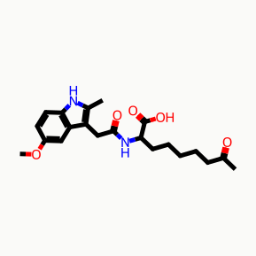 COc1ccc2[nH]c(C)c(CC(=O)NC(CCCCCC(C)=O)C(=O)O)c2c1